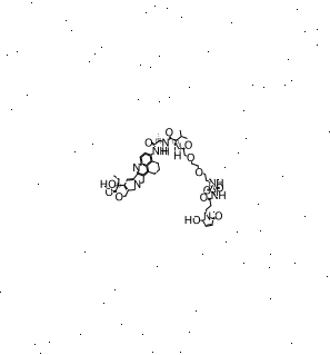 CC[C@@]1(O)C(=O)OCC2=C1C=C1c3nc4ccc(NC(=O)[C@H](C)NC(=O)[C@@H](NC(=O)COCCOCCNS(=O)(=O)NC(=O)CCN5C(=O)C=CC5O)C(C)C)c5c4c(c3CN1C2)CCC5